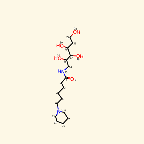 O=C(CCCCCN1CCCCC1)NCC(O)C(O)C(O)CCO